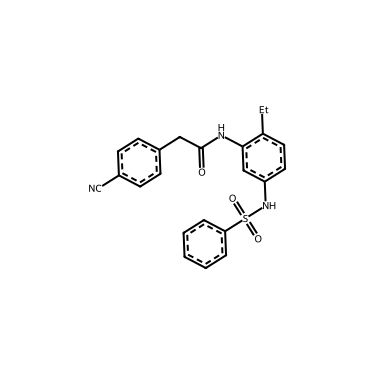 CCc1ccc(NS(=O)(=O)c2ccccc2)cc1NC(=O)Cc1ccc(C#N)cc1